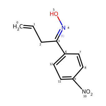 C=CC/C(=N\O)c1ccc([N+](=O)[O-])cc1